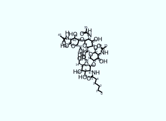 CCCCCC(=O)N[C@@H]1C(O)[C@H](O)[C@@H](CO)O[C@H]1O[C@H]1C(O)C(NC(C)=O)[C@H](O[C@H]2C(O)[C@@H](NC(C)=O)[C@H](O[C@H]3C(O)[C@@H](NC(C)=O)C(O)O[C@H]3CO)O[C@@H]2CO)O[C@H]1CO